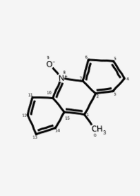 Cc1c2ccccc2[n+]([O-])c2ccccc12